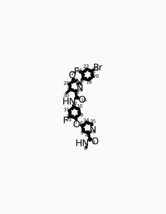 CNC(=O)c1cc(Oc2ccc(NC(=O)c3nn(-c4ccc(Br)cc4F)c(=O)cc3C)cc2F)ccn1